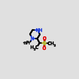 CC[CH]N1CCNCC1C(C)S(C)(=O)=O